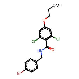 COCCOc1cc(Cl)c(C(=O)NCc2ccc(Br)cc2)c(Cl)c1